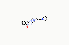 O=c1[nH]c(N2CCN(CCCCN3CCCCC3)CC2)cc2ccccc12